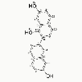 Oc1ccc2ccc(-c3ccc4ccc(O)cc4c3O)cc2c1